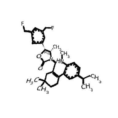 CNc1ccc(C(C)C)cc1C1=C(CN2C(=O)O[C@H](c3cc(CF)cc(CF)c3)[C@@H]2C)CC(C)(C)CC1